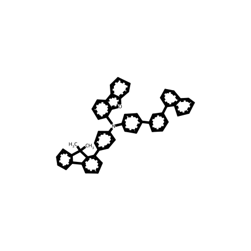 CC1(C)c2ccccc2-c2cccc(-c3ccc(N(c4ccc(-c5cccc(-c6cccc7ccccc67)c5)cc4)c4cccc5c4oc4ccccc45)cc3)c21